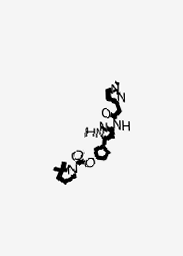 Cn1ccc(CC(=O)Nc2cc(C3CCC(OC(=O)N4CCCC4(C)C)C3)[nH]n2)n1